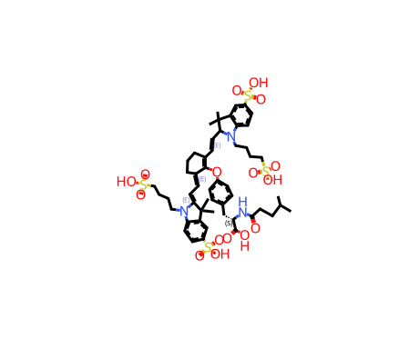 CC(C)CCC(=O)N[C@@H](Cc1ccc(OC2=C(/C=C/C3N(CCCCS(=O)(=O)O)c4ccc(S(=O)(=O)O)cc4C3(C)C)CCC/C2=C\C=C2\N(CCCCS(=O)(=O)O)c3ccc(S(=O)(=O)O)cc3C2(C)C)cc1)C(=O)O